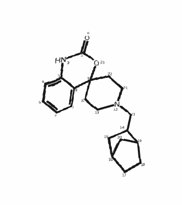 O=C1Nc2ccccc2C2(CCN(CC3CC4CCC3C4)CC2)O1